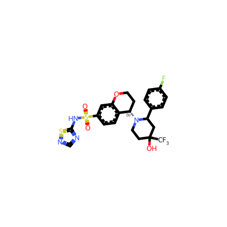 O=S(=O)(Nc1ncns1)c1ccc2c(c1)OCC[C@@H]2N1CCC(O)(C(F)(F)F)CC1c1ccc(F)cc1